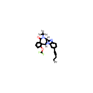 [2H]C([2H])([2H])N1C(=O)c2cccc(OC(F)F)c2[C@H]2C[C@@H]1c1nc3ccc(C#CCCC(C)C)cc3n12